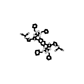 N#CC(C#N)=Nc1ccc(-c2cc3c(s2)C2=CC4C=C5OC(C(=O)OCc6ccccc6)(C(=O)OCc6ccccc6)c6cc(-c7ccc(N=C(C#N)C#N)s7)sc6C5=CC4C=C2OC3(C(=O)OCc2ccccc2)C(=O)OCc2ccccc2)s1